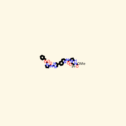 COC(=O)N[C@H](C(=O)N1CCC[C@H]1C(=O)Nc1ccc2cc(-c3cnc(NC(=O)[C@@H]4CCCN4C(=O)OCc4ccccc4)nc3)ccc2n1)C(C)C